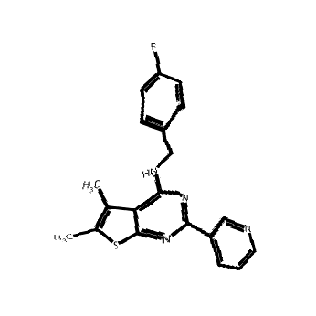 Cc1sc2nc(-c3cccnc3)nc(NCc3ccc(F)cc3)c2c1C